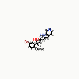 COc1ccc(Br)cc1C(C)(C)C[C@@](O)(Cc1cc2ccncc2[nH]1)C(F)(F)F